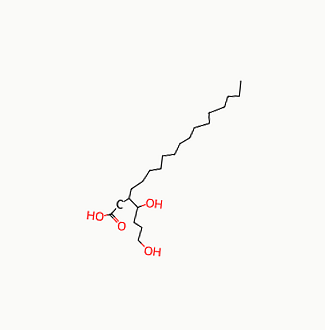 CCCCCCCCCCCCCCCC(CC(=O)O)C(O)CCCO